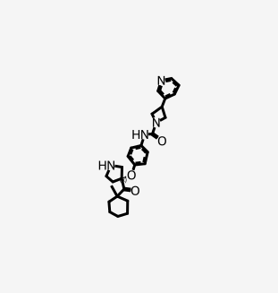 CC1(C(=O)[C@@]2(Oc3ccc(NC(=O)N4CC(c5cccnc5)C4)cc3)CCNC2)CCCCC1